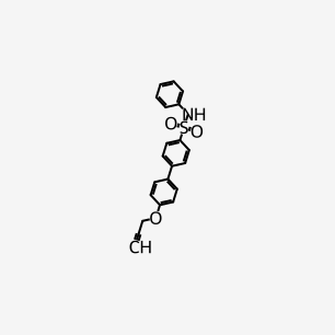 C#CCOc1ccc(-c2ccc(S(=O)(=O)Nc3ccccc3)cc2)cc1